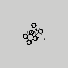 Cc1ccc2c(c1N1c3nccnc3N(c3ccccc3)[C@@H]1C)-c1ccccc1-c1ccccc1-c1ccccc1-2